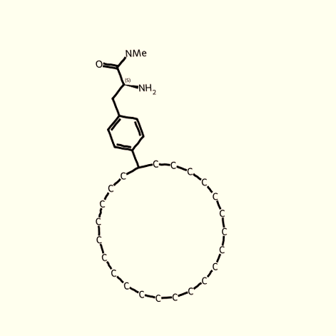 CNC(=O)[C@@H](N)Cc1ccc(C2CCCCCCCCCCCCCCCCCCCCCC2)cc1